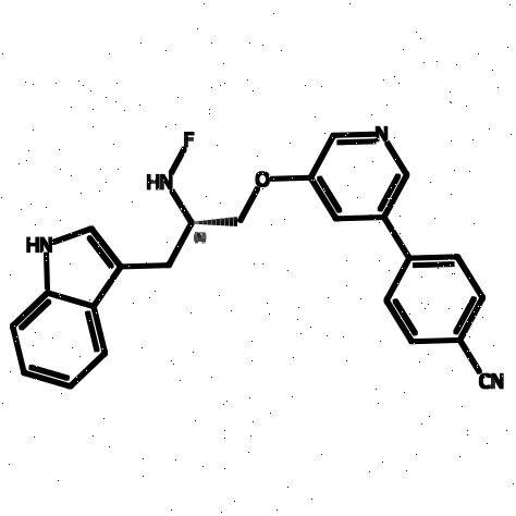 N#Cc1ccc(-c2cncc(OC[C@H](Cc3c[nH]c4ccccc34)NF)c2)cc1